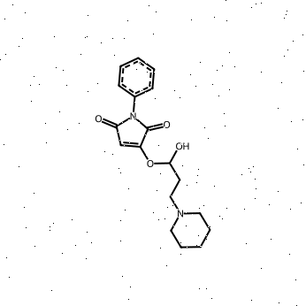 O=C1C=C(OC(O)CCN2CCCCC2)C(=O)N1c1ccccc1